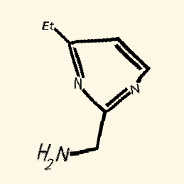 CCc1ccnc(CN)n1